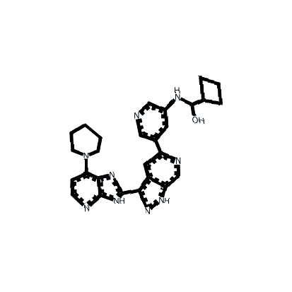 OC(Nc1cncc(-c2cc3c(-c4nc5c(N6CCCCC6)ccnc5[nH]4)n[nH]c3cn2)c1)C1CCC1